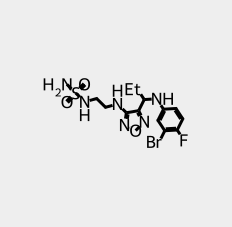 CCC(Nc1ccc(F)c(Br)c1)c1nonc1NCCNS(N)(=O)=O